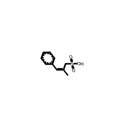 C/C(=C/c1ccccc1)CS(=O)(=O)O